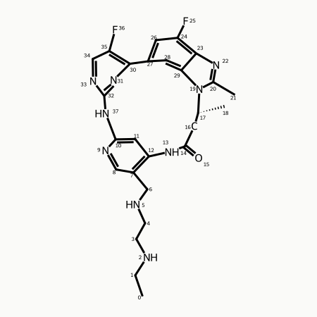 CCNCCNCc1cnc2cc1NC(=O)C[C@@H](C)n1c(C)nc3c(F)cc(cc31)-c1nc(ncc1F)N2